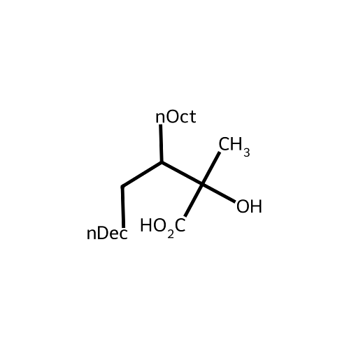 CCCCCCCCCCCC(CCCCCCCC)C(C)(O)C(=O)O